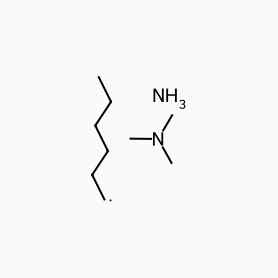 CN(C)C.N.[CH2]CCCCC